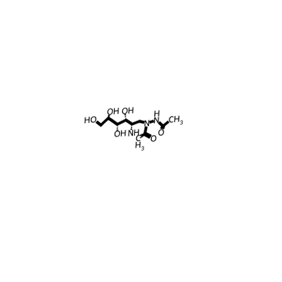 CC(=O)NN(C[C@H](N)[C@@H](O)[C@H](O)[C@H](O)CO)C(C)=O